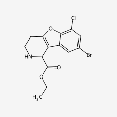 CCOC(=O)C1NCCc2oc3c(Cl)cc(Br)cc3c21